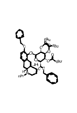 CCCN1CCC[C@@H]2Cc3c(ccc(OCc4ccccc4)c3O[C@@H]3O[C@H](C(=O)OCc4ccccc4)[C@@H](OC(=O)C(C)(C)C)[C@H](OC(=O)C(C)(C)C)[C@H]3OC(=O)C(C)(C)C)C[C@H]21